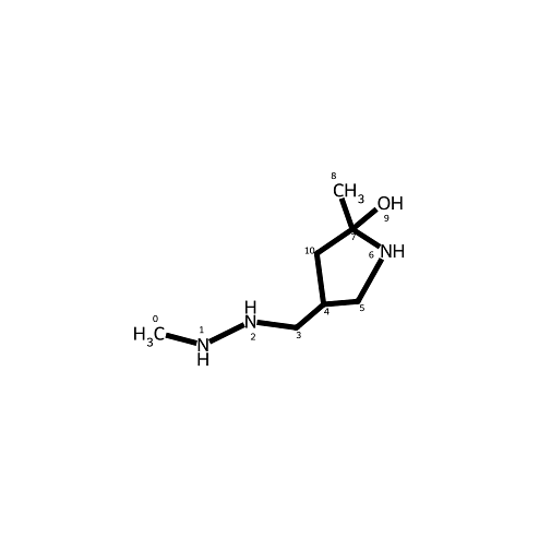 CNNCC1CNC(C)(O)C1